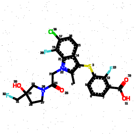 Cc1c(Sc2cccc(C(=O)O)c2F)c2ccc(Cl)c(F)c2n1CC(=O)N1CCC(O)(CF)C1